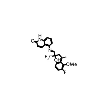 COc1c(F)cccc1[C@H](C)CC(O)(/C=N/c1cccc2[nH]c(=O)ccc12)C(F)(F)F